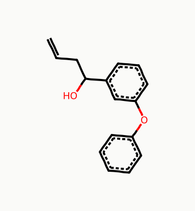 C=CCC(O)c1cccc(Oc2ccccc2)c1